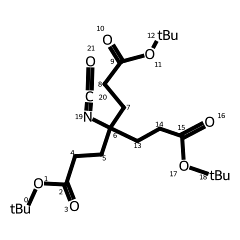 CC(C)(C)OC(=O)CCC(CCC(=O)OC(C)(C)C)(CCC(=O)OC(C)(C)C)N=C=O